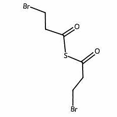 O=C(CCBr)SC(=O)CCBr